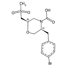 CS(=O)(=O)C[C@H]1CN(C(=O)O)[C@@H](Cc2ccc(Br)cc2)CO1